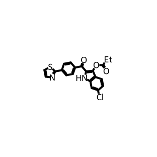 CCC(=O)Oc1c(C(=O)c2ccc(-c3nccs3)cc2)[nH]c2cc(Cl)ccc12